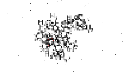 CC(C)(C)c1ccc(N2B3c4cc5oc(-c6ccccc6)c(-c6ccccc6)c5cc4N(c4ccc(C(C)(C)C)cc4-c4ccccc4)c4c3c(cc3c4sc4ccccc43)-c3cc4c(cc32)C(C)(C)c2cc3c(cc2-4)C(C)(C)CCC3(C)C)cc1